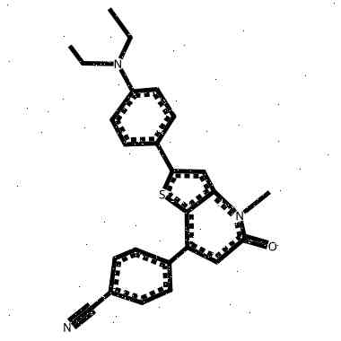 CCN(CC)c1ccc(-c2cc3c(s2)c(-c2ccc(C#N)cc2)cc(=O)n3C)cc1